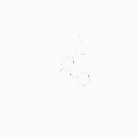 C[Se]CC[C@H](N)C(=O)N[C@@H](Cc1ccccc1)C(=O)O